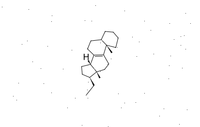 CC[C@H]1CC[C@@H]2C3=C(CC[C@]12C)[C@@]1(C)CCCCC1CC3